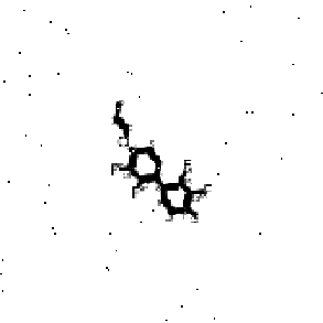 C/C=C/Oc1ccc(-c2ccc(C)c(F)c2F)c(F)c1F